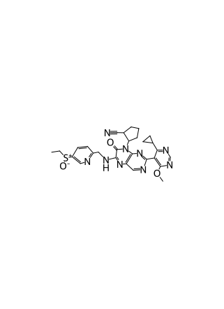 CC[S+]([O-])c1ccc(CNc2nc3cnc(-c4c(OC)ncnc4C4CC4)nc3n(C3CCCC3C#N)c2=O)nc1